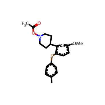 COc1ccc(Sc2ccc(C)cc2)c(C2CCN(OC(=O)C(F)(F)F)CC2)c1